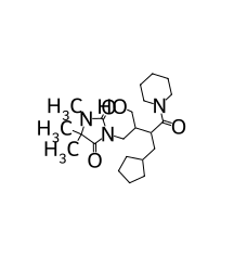 CN1C(=O)N(CC(CO)C(CC2CCCC2)C(=O)N2CCCCC2)C(=O)C1(C)C